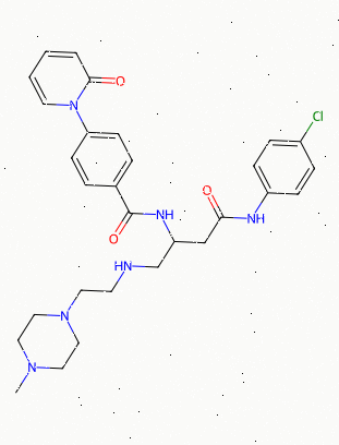 CN1CCN(CCNCC(CC(=O)Nc2ccc(Cl)cc2)NC(=O)c2ccc(-n3ccccc3=O)cc2)CC1